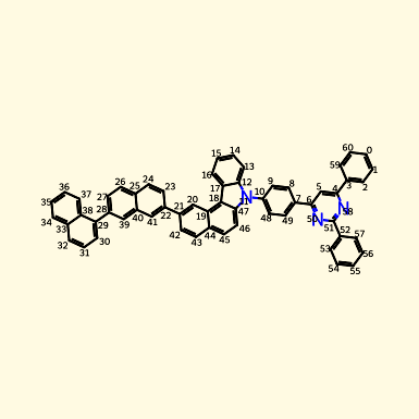 c1ccc(-c2cc(-c3ccc(-n4c5ccccc5c5c6cc(-c7ccc8ccc(-c9cccc%10ccccc9%10)cc8c7)ccc6ccc54)cc3)nc(-c3ccccc3)n2)cc1